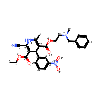 CCOC(=O)C1=C(C#N)NC(C)=C(C(=O)OCCN(C)Cc2ccccc2)C1c1cccc([N+](=O)[O-])c1